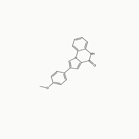 COc1ccc(-c2cc3c(=O)[nH]c4ccccc4n3c2)cc1